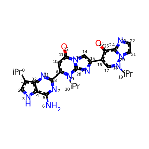 CC(C)c1c[nH]c2c(N)nc(-c3cc(=O)n4cc(-c5cn(C(C)C)n6ccnc6c5=O)nc4n3C(C)C)nc12